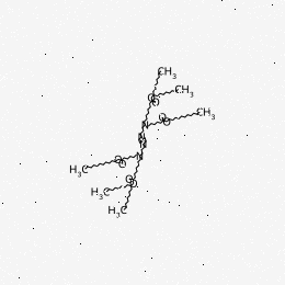 CCCCCCCCCCCOC(=O)CCCCCN(CCCCCCCC(=O)OC(CCCCCCCC)CCCCCCCC)CCCN1CCN(CCCN(CCCCCCCC(=O)OC(CCCCCCCC)CCCCCCCC)CCCCCC(=O)OCCCCCCCCCCC)CC1